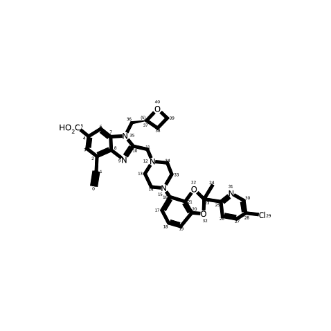 C#Cc1cc(C(=O)O)cc2c1nc(CN1CCN(c3cccc4c3OC(C)(c3ccc(Cl)cn3)O4)CC1)n2C[C@@H]1CCO1